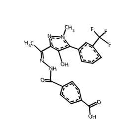 CC(=NNC(=O)c1ccc(C(=O)O)cc1)c1nn(C)c(-c2cccc(C(F)(F)F)c2)c1O